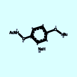 CCCCOc1ccc(ONC(C)=O)cc1.[NaH]